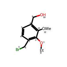 CCOc1c(CBr)ccc(CO)c1OC